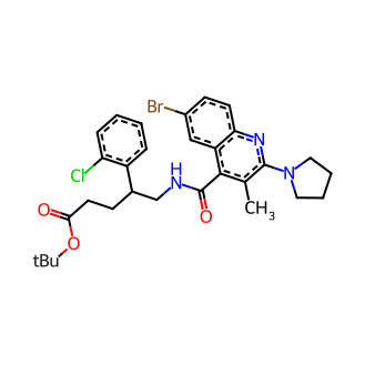 Cc1c(N2CCCC2)nc2ccc(Br)cc2c1C(=O)NCC(CCC(=O)OC(C)(C)C)c1ccccc1Cl